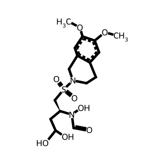 COc1cc2c(cc1OC)CN(S(=O)(=O)C[C@H](CC(O)O)N(O)C=O)CC2